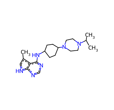 Cc1c[nH]c2ncnc(NC3CCC(N4CCN(C(C)C)CC4)CC3)c12